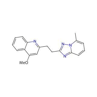 COc1cc(CCc2nc3cccc(C)n3n2)nc2ccccc12